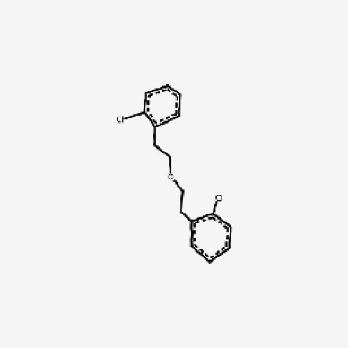 Clc1ccccc1CCOCCc1ccccc1Cl